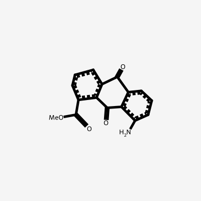 COC(=O)c1cccc2c1C(=O)c1c(N)cccc1C2=O